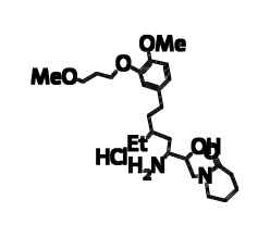 CCC(CCc1ccc(OC)c(OCCCOC)c1)CC(N)C(O)CN1CCCCC1=O.Cl